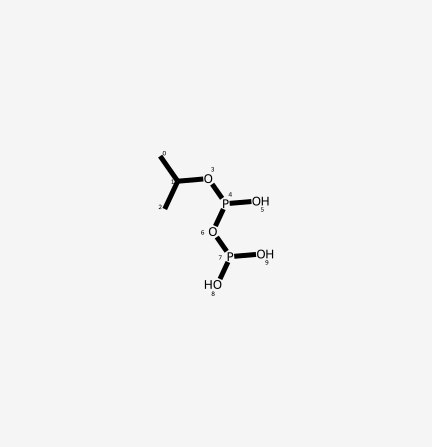 CC(C)OP(O)OP(O)O